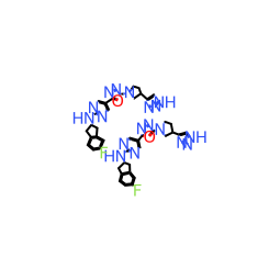 Fc1ccc2c(c1)CC(Nc1ncc(-c3nnc(N4CCC(c5c[nH]nn5)C4)o3)cn1)C2.Fc1ccc2c(c1)CC(Nc1ncc(-c3nnc(N4CCC(c5c[nH]nn5)C4)o3)cn1)C2